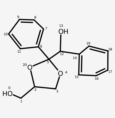 OCC1COC(c2ccccc2)(C(O)c2ccccc2)O1